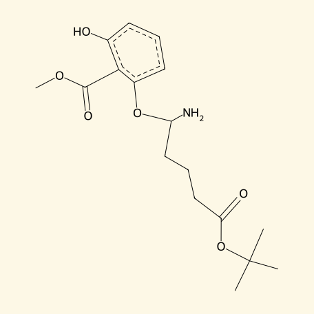 COC(=O)c1c(O)cccc1OC(N)CCCC(=O)OC(C)(C)C